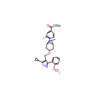 COC(=O)c1ccc(N2C3CC(OCc4c(-c5ccccc5OC(F)(F)F)noc4C4CC4)CC2[C@H](C)C3)c(F)c1